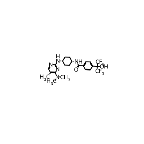 Cc1cnc(N[C@H]2CC[C@@H](NC(=O)c3ccc(C(O)(C(F)(F)F)C(F)(F)F)cc3)CC2)nc1N(C)C